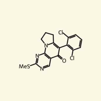 CSc1ncc2c(=O)c(-c3c(Cl)cccc3Cl)c3n(c2n1)CCC3